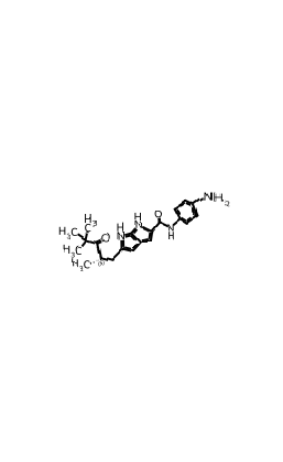 C[C@@H](Cc1cc2cc(C(=O)Nc3ccc(N)cc3)[nH]c2[nH]1)C(=O)C(C)(C)C